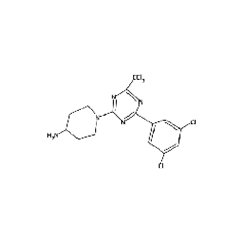 NC1CCN(c2nc(-c3cc(Cl)cc(Cl)c3)nc(C(Cl)(Cl)Cl)n2)CC1